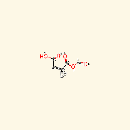 O=COC(=O)/C=C\C(=O)O.[Fe]